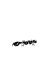 CN1CCN(CCCNC(=O)c2cccc(Nc3cccc(C(=O)Nc4ccncc4)c3)c2)CC1